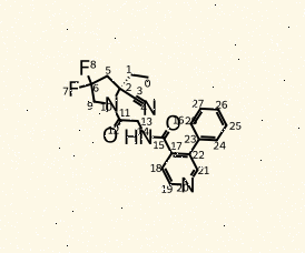 CC[C@@]1(C#N)CC(F)(F)CN1C(=O)CNC(=O)c1ccncc1-c1ccccc1